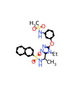 CCn1c(Oc2cccc(NS(C)(=O)=O)c2)nnc1[C@@H](C)NS(=O)(=O)c1ccc2ccccc2c1